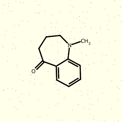 CN1CCCC(=O)c2ccccc21